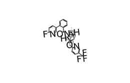 C[C@@H]1[C@H]2C[C@@H](Oc3ccc(C(F)(F)F)cn3)[C@H](C2)N1C(=O)c1ccccc1-c1ccc(F)nc1